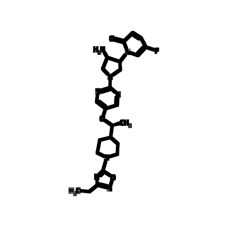 CCc1noc(N2CCC([C@H](C)Oc3cnc(N4CC(N)C(n5cc(F)ccc5=O)C4)nc3)CC2)n1